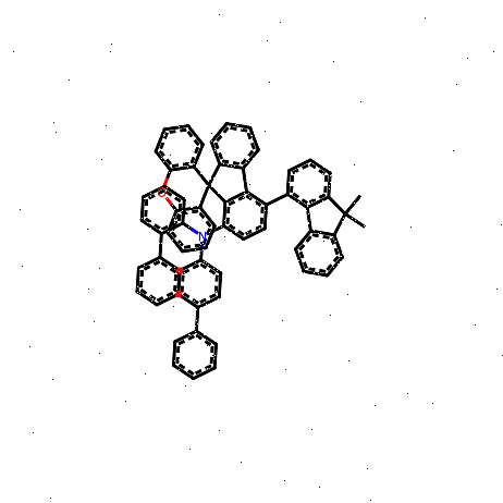 CC1(C)c2ccccc2-c2c(-c3ccc(N(c4ccc(-c5ccccc5)cc4)c4ccccc4-c4ccccc4)c4c3-c3ccccc3C43c4ccccc4Oc4ccccc43)cccc21